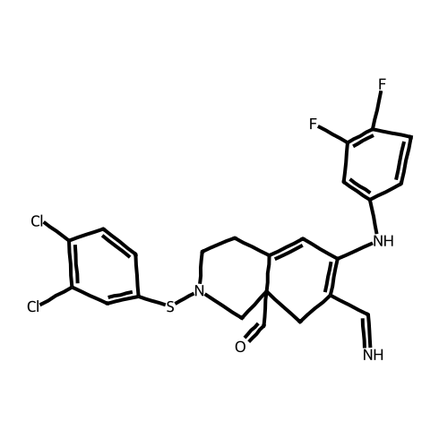 N=CC1=C(Nc2ccc(F)c(F)c2)C=C2CCN(Sc3ccc(Cl)c(Cl)c3)CC2(C=O)C1